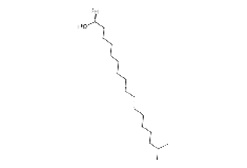 [2H]C(O)CCCCCCCCCCCCCCC(C)C